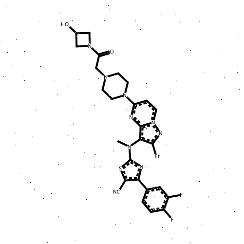 CCc1nn2ccc(N3CCN(CC(=O)N4CC(O)C4)CC3)nc2c1N(C)c1nc(-c2ccc(F)c(F)c2)c(C#N)s1